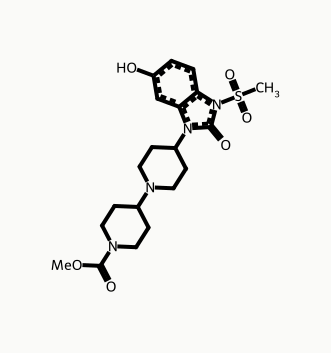 COC(=O)N1CCC(N2CCC(n3c(=O)n(S(C)(=O)=O)c4ccc(O)cc43)CC2)CC1